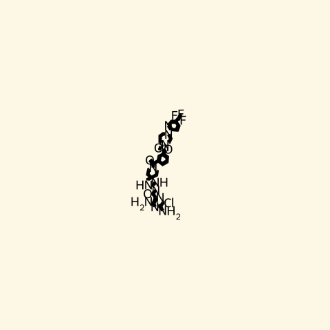 Nc1nc(N)c(C(=O)/N=C2\NCC3(CCN(C(=O)c4cccc(S(=O)(=O)N5CCCN(c6ccc(C(F)(F)F)cn6)CC5)c4)CC3)N2)nc1Cl